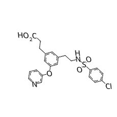 O=C(O)CCc1cc(CCNS(=O)(=O)c2ccc(Cl)cc2)cc(Oc2cccnc2)c1